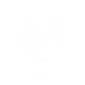 C=C(C)CC1(c2ccc(C)cc2C)c2ccccc2-c2ccc(Br)cc21